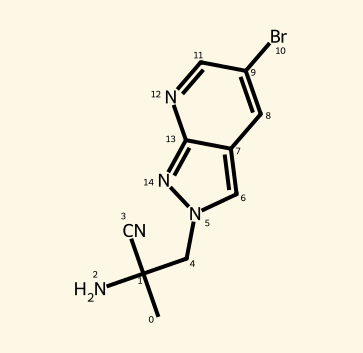 CC(N)(C#N)Cn1cc2cc(Br)cnc2n1